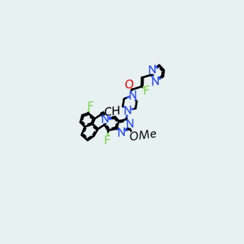 C#Cc1c(F)ccc2cccc(-c3ncc4c(N5CCN(C(=O)/C(F)=C/c6ncccn6)CC5)nc(OC)nc4c3F)c12